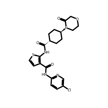 O=C(Nc1ccc(Cl)cn1)c1ccsc1NC(=O)[C@H]1CC[C@H](N2CCOCC2=O)CC1